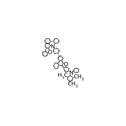 Cc1cc(C)c(N(c2ccccc2)c2ccc3c(c2)oc2c4ccc(-c5ccc(N(c6ccccc6-c6ccccc6)c6cccc7c6oc6ccccc67)cc5)cc4c4ccccc4c32)c(C)c1